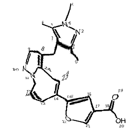 Cc1nn(C)c(C)c1-c1cnn2ccc(-c3cc(C(=O)O)co3)cc12